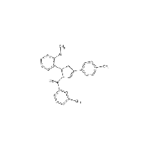 COc1ccccc1C1CC(c2ccc(C)cc2)=CC1C(=O)c1cccc(C)c1